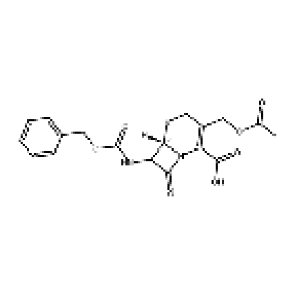 CC(=O)OCC1=C(C(=O)O)N2C(=O)C(NC(=O)OCc3ccccc3)[C@@H]2SC1